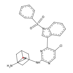 NC1=C2C3CC2CC(Nc2ncc(Cl)c(-c4cn(S(=O)(=O)c5ccccc5)c5ccccc45)n2)(C1)C3